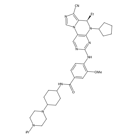 CC[C@@H]1c2c(C#N)ncn2-c2cnc(Nc3ccc(C(=O)NC4CCC(N5CCN(C(C)C)CC5)CC4)cc3OC)nc2N1C1CCCC1